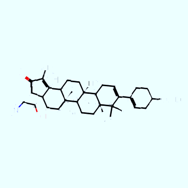 CCOC(=O)C1CC=C(C2=CC[C@]3(C)[C@H]4CC[C@@H]5C6=C(C(C)C)C(=O)C[C@]6(C(O)CN)CC[C@@]5(C)[C@]4(C)CC[C@H]3C2(C)C)CC1